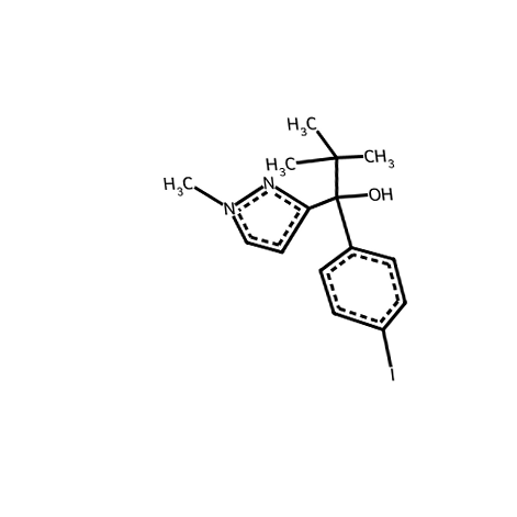 Cn1ccc(C(O)(c2ccc(I)cc2)C(C)(C)C)n1